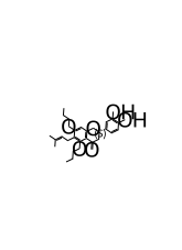 CCCOc1cc2c(c(OCCC)c1CC=C(C)C)C(=O)C[C@@H](c1ccc(O)c(O)c1)O2